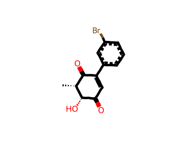 C[C@@H]1C(=O)C(c2cccc(Br)c2)=CC(=O)[C@@H]1O